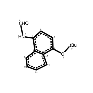 CC(C)(C)Oc1ccc(N[C]=O)c2ccccc12